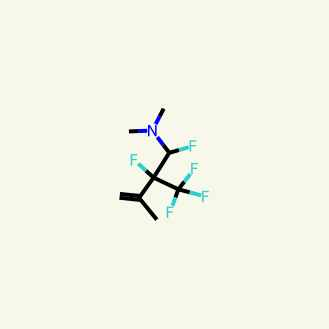 C=C(C)C(F)(C(F)N(C)C)C(F)(F)F